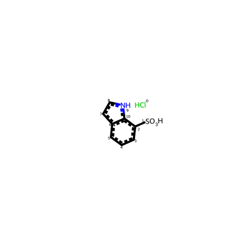 Cl.O=S(=O)(O)c1cccc2cc[nH]c12